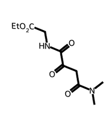 CCOC(=O)CNC(=O)C(=O)CC(=O)N(C)C